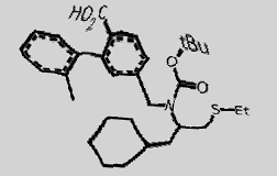 CCSCC(CC1CCCCC1)N(Cc1ccc(C(=O)O)c(-c2ccccc2C)c1)C(=O)OC(C)(C)C